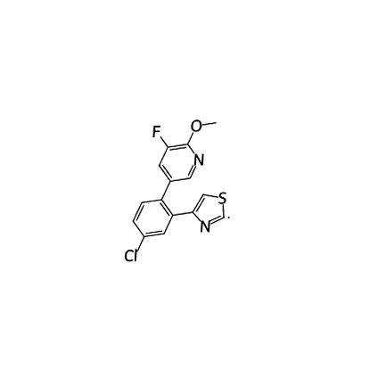 COc1ncc(-c2ccc(Cl)cc2-c2cs[c]n2)cc1F